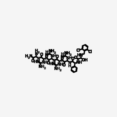 N=C(N)NC(NC(=O)C(NC(=N)N)NC(=O)C(NC(=N)N)NC(=O)C(NC(=N)N)NC(=O)C(NC(=O)C(O)NCc1c(Cl)cccc1Cl)c1ccccc1)C(=O)NC(N)C(N)=O